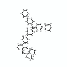 c1ccc(-c2ccc(N(c3ccc(-c4ccccc4)cc3)c3ccc(-c4ccc(-c5cccc6c5Oc5cccc7cccc(c57)O6)cc4)cc3)cc2)cc1